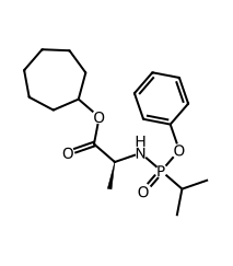 CC(C)P(=O)(N[C@@H](C)C(=O)OC1CCCCCC1)Oc1ccccc1